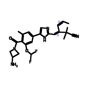 C/C=C\C(=C/c1ncc(-c2cc(C)c(C(=O)N3CC(N)C3)c(OC(F)F)c2)[nH]1)C(C)(C)C#N